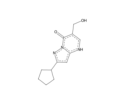 O=c1c(CO)c[nH]c2cc(C3CCCC3)nn12